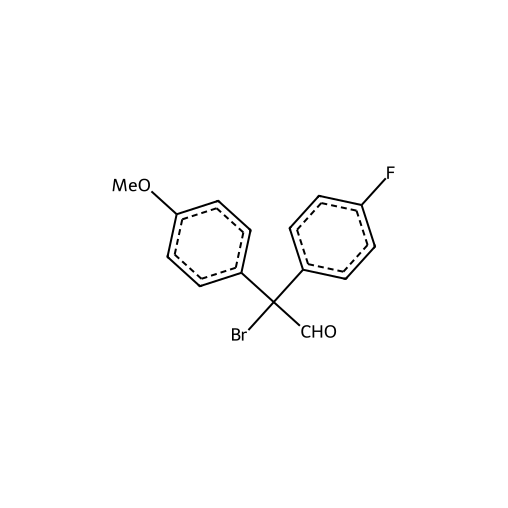 COc1ccc(C(Br)(C=O)c2ccc(F)cc2)cc1